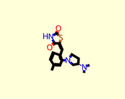 Cc1ccc(/C=C2/SC(=O)NC2=O)c(N2CC[C@H](N(C)C)C2)c1